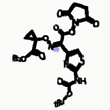 CC(C)COC(=O)C1(O/N=C(\C(=O)ON2C(=O)CCC2=O)c2csc(NC(=O)OC(C)(C)C)n2)CC1